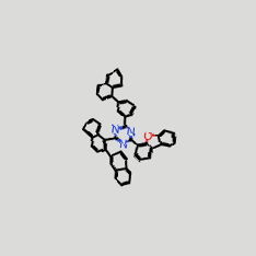 c1cc(-c2nc(-c3c(-c4ccc5ccccc5c4)ccc4ccccc34)nc(-c3cccc4c3oc3ccccc34)n2)cc(-c2cccc3ccccc23)c1